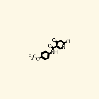 O=C1CC(Cl)=NC=C1C(=O)Nc1ccc(OC(F)(F)F)cc1